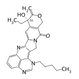 C=C1OCc2c(cc3n(c2=O)Cc2c-3nc3cccc4c3c2N(CCCCC)C=N4)[C@@]1(O)CC